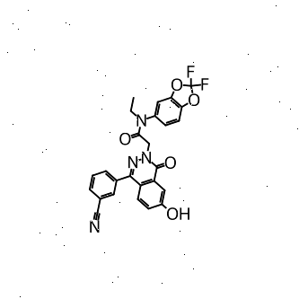 CCN(C(=O)Cn1nc(-c2cccc(C#N)c2)c2ccc(O)cc2c1=O)c1ccc2c(c1)OC(F)(F)O2